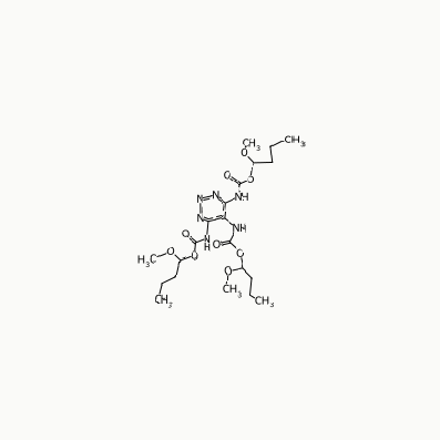 CCCC(OC)OC(=O)Nc1nnnc(NC(=O)OC(CCC)OC)c1NC(=O)OC(CCC)OC